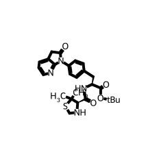 CC(C)(C)OC(=O)[C@H](Cc1ccc(N2C(=O)Cc3cccnc32)cc1)NC(=O)[C@H]1NCSC1(C)C